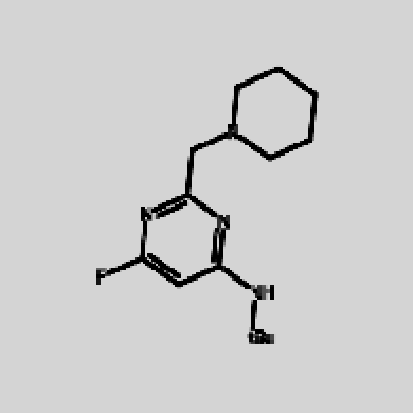 CC(C)(C)Nc1cc(F)nc(CN2CCCCC2)n1